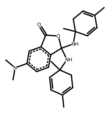 CC1=CCC(C)(NC2(NC3(C)C=CC(C)=CC3)OC(=O)c3cc(N(C)C)ccc32)C=C1